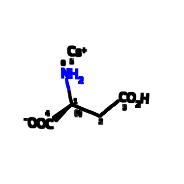 N[C@@H](CC(=O)O)C(=O)[O-].[Cs+]